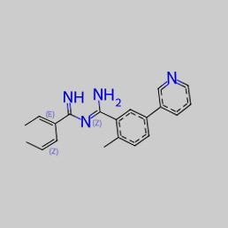 C/C=C\C(=C/C)C(=N)/N=C(\N)c1cc(-c2cccnc2)ccc1C